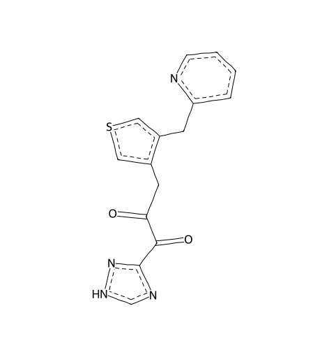 O=C(Cc1cscc1Cc1ccccn1)C(=O)c1nc[nH]n1